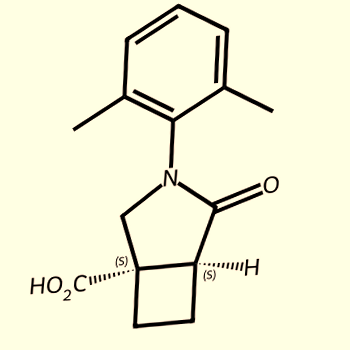 Cc1cccc(C)c1N1C[C@]2(C(=O)O)CC[C@@H]2C1=O